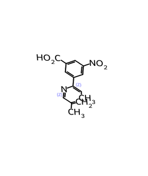 C=C(C)/C=N\C(=C/C)c1cc(C(=O)O)cc([N+](=O)[O-])c1